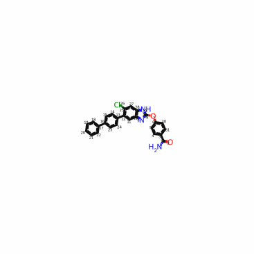 NC(=O)c1ccc(Oc2nc3cc(-c4ccc(-c5ccccc5)cc4)c(Cl)cc3[nH]2)cc1